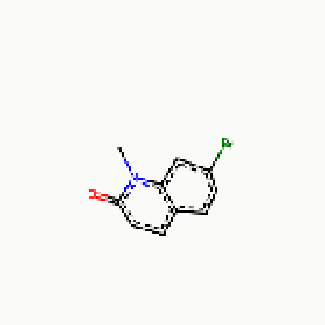 Cn1c(=O)ccc2ccc(Br)cc21